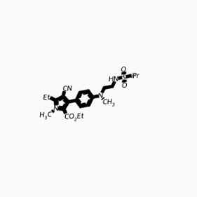 CCOC(=O)c1c(-c2ccc(N(C)CCNS(=O)(=O)C(C)C)cc2)c(C#N)c(CC)n1C